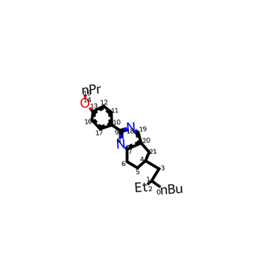 CCCCC(CC)CC1CCc2nc(-c3ccc(OCCC)cc3)ncc2C1